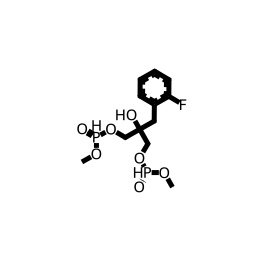 CO[PH](=O)OCC(O)(CO[PH](=O)OC)Cc1ccccc1F